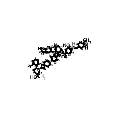 CC(C)c1ccccc1[C@@H]1CC[C@@](C)(O)CN1C1CC2(CCN(c3ccc(C(=O)NS(=O)(=O)c4ccc(NCC5CCC(C)(O)CC5)c([N+](=O)[O-])c4)c(N4c5cc6cc[nH]c6nc5O[C@H]5COCC[C@@H]54)c3)CC2)C1